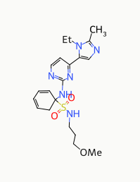 CCn1c(-c2ccnc(NC3(S(=O)(=O)NCCCOC)C=CC=CC3)n2)cnc1C